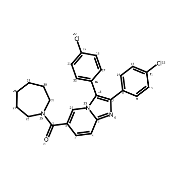 O=C(c1ccc2nc(-c3ccc(Cl)cc3)c(-c3ccc(Cl)cc3)n2c1)N1CCCCCC1